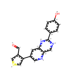 O=Cc1cscc1-c1cnc2cnc(-c3ccc(O)cc3)nc2c1